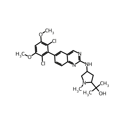 COc1cc(OC)c(Cl)c(-c2ccc3nc(NC4CC(C(C)(C)O)N(C)C4)ncc3c2)c1Cl